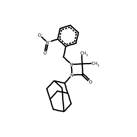 CC1(C)C(=O)N(C2C3CC4CC(C3)CC2C4)N1Cc1ccccc1[N+](=O)[O-]